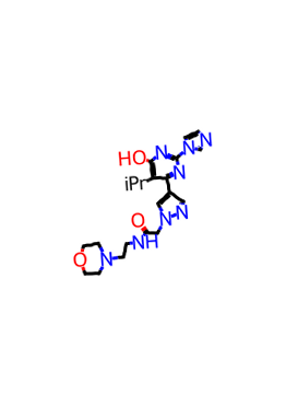 CC(C)c1c(O)nc(-n2ccnc2)nc1-c1cnn(CC(=O)NCCN2CCOCC2)c1